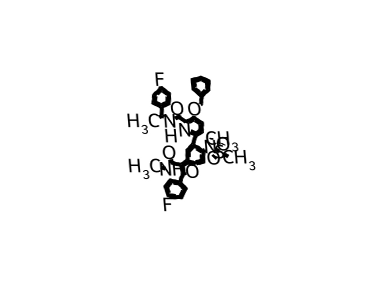 CNC(=O)c1c(-c2ccc(F)cc2)oc2cc(N(C)S(C)(=O)=O)c(-c3ccc(OCc4ccccc4)c(C(=O)NC(C)c4ccc(F)cc4)n3)cc12